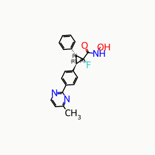 Cc1ccnc(-c2ccc([C@H]3[C@H](c4ccccc4)[C@]3(F)C(=O)NO)cc2)n1